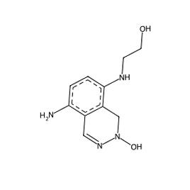 Nc1ccc(NCCO)c2c1C=NN(O)C2